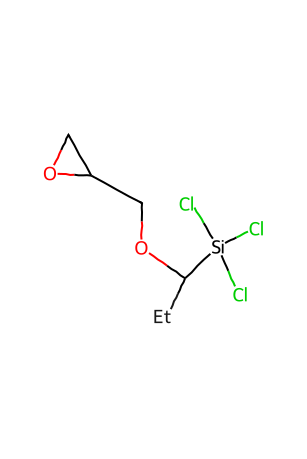 CCC(OCC1CO1)[Si](Cl)(Cl)Cl